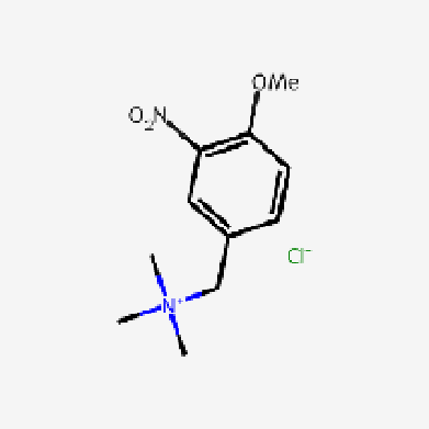 COc1ccc(C[N+](C)(C)C)cc1[N+](=O)[O-].[Cl-]